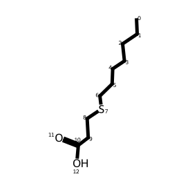 CCCCCCCSCCC(=O)O